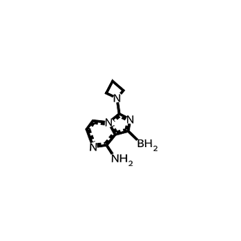 Bc1nc(N2CCC2)n2ccnc(N)c12